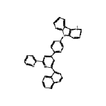 C1=Cc2c(c3ccccc3n2-c2ccc(-c3cc(-c4ccccn4)nc(-c4cccc5ccccc45)c3)cc2)NC1